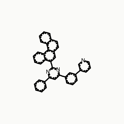 c1ccc(-c2cc(-c3cccc(-c4cccnc4)c3)nc(-c3cc4ccc5ccccc5c4c4ccccc34)n2)cc1